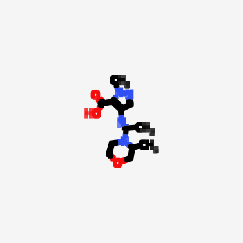 C/C(=N\c1cnn(C)c1C(=O)O)N1CCOCC1C